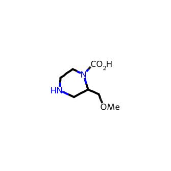 COCC1CNCCN1C(=O)O